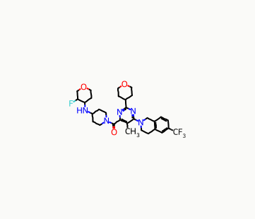 Cc1c(C(=O)N2CCC(NC3CCOCC3F)CC2)nc(C2CCOCC2)nc1N1CCc2cc(C(F)(F)F)ccc2C1